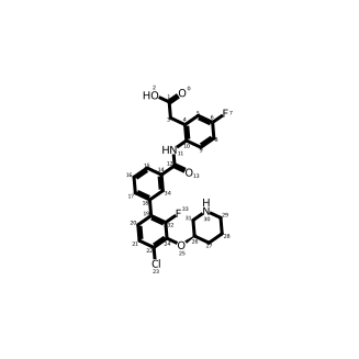 O=C(O)Cc1cc(F)ccc1NC(=O)c1cccc(-c2ccc(Cl)c(O[C@@H]3CCCNC3)c2F)c1